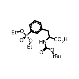 CCOP(=O)(OCC)c1cccc(CC(NC(=O)OC(C)(C)C)C(=O)O)c1